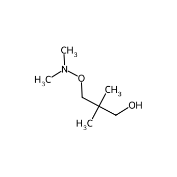 CN(C)OCC(C)(C)CO